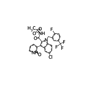 CS(=O)(=O)NC(=O)c1c(-c2ccc[nH]c2=O)c2cc(Cl)ccc2n1Cc1cc(C(F)(F)F)ccc1F